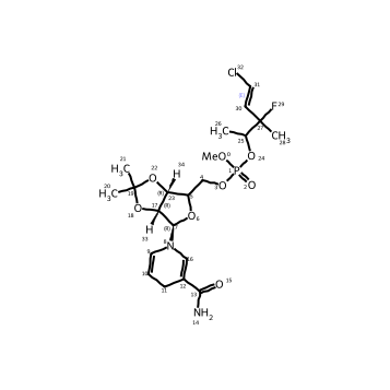 COP(=O)(OCC1O[C@@H](N2C=CCC(C(N)=O)=C2)[C@@H]2OC(C)(C)O[C@H]12)OC(C)C(C)(F)/C=C/Cl